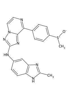 Cc1nc2cc(Nc3nc4c(-c5ccc([S+](C)[O-])cc5)nccn4n3)ccc2[nH]1